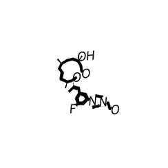 C/C(=C\c1cc(F)cc(N2CCN(CC=O)CC2)c1)[C@H]1OC(=O)C[C@H](O)CC[C@H](C)C/C=C/[C@@H]1C